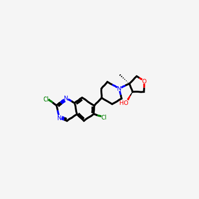 C[C@]1(N2CCC(c3cc4nc(Cl)ncc4cc3Cl)CC2)COC[C@H]1O